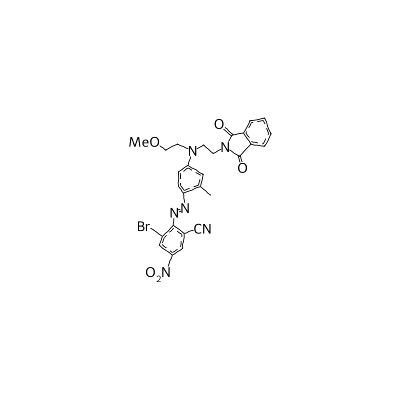 COCCN(CCN1C(=O)c2ccccc2C1=O)c1ccc(/N=N/c2c(Br)cc([N+](=O)[O-])cc2C#N)c(C)c1